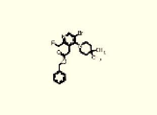 CC1(C)CCN(c2c(Br)cnc(CF)c2CC(=O)OCc2ccccc2)CC1